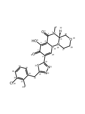 CN1C(=O)c2c(O)c(=O)c(-c3nnc(Cc4cccc(Cl)c4F)s3)cn2N2CCOC[C@@H]12